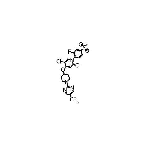 CS(=O)(=O)c1ccc(-n2cc(Cl)c(OC3CCN(c4ncc(C(F)(F)F)cn4)CC3)cc2=O)c(F)c1